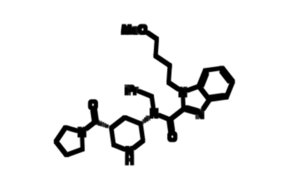 COCCCCn1c(C(=O)N(CC(C)C)[C@@H]2CNC[C@H](C(=O)N3CCCC3)C2)nc2ccccc21